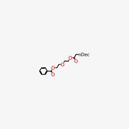 CCCCCCCCCCCC(=O)OCCOCCOC(=O)c1ccccc1